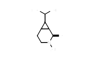 CC(C)C1C2CCN(C)C(=O)C21